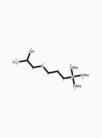 CO[Si](CCCSCC(C)O)(OC)OC